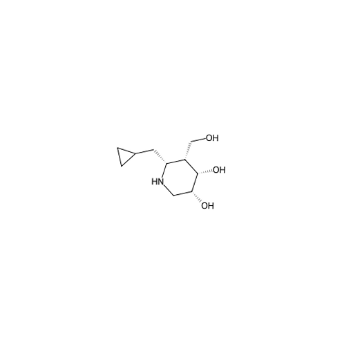 OC[C@@H]1[C@H](O)[C@H](O)CN[C@@H]1CC1CC1